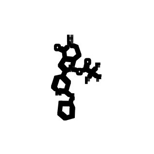 O=C1NCCc2c1cc(-c1ccnc(Sc3ccccc3)c1)n2OC(=O)C(F)(F)F